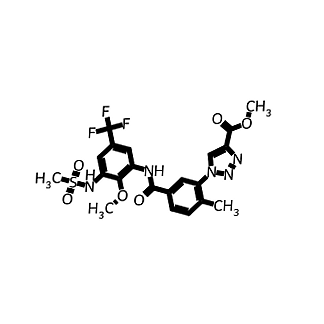 COC(=O)c1cn(-c2cc(C(=O)Nc3cc(C(F)(F)F)cc(NS(C)(=O)=O)c3OC)ccc2C)nn1